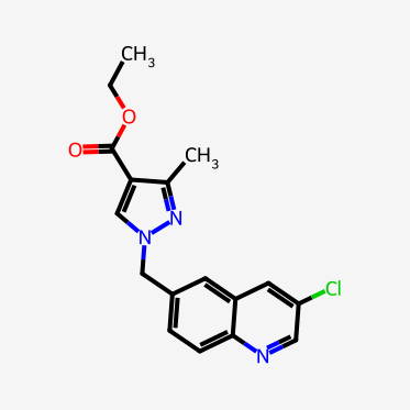 CCOC(=O)c1cn(Cc2ccc3ncc(Cl)cc3c2)nc1C